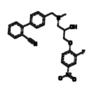 CN(Cc1ccc(-c2ccccc2C#N)cc1)CC(O)COc1ccc([N+](=O)[O-])cc1F